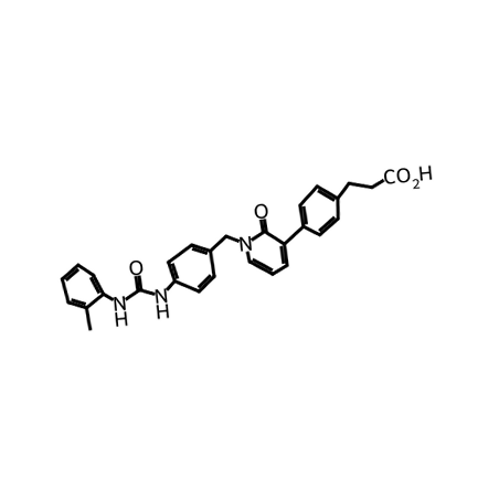 Cc1ccccc1NC(=O)Nc1ccc(Cn2cccc(-c3ccc(CCC(=O)O)cc3)c2=O)cc1